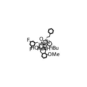 CCC(C)[C@@]1(NC(C)=O)CCN([C@@H](CCc2ccccc2)C(=O)N[C@@H](Cc2cc(F)cc(F)c2)[C@@H](O)C2Cc3cccc(OC)c3CN2)C1=O